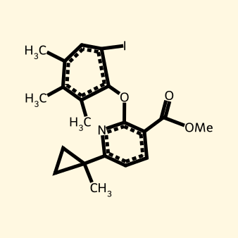 COC(=O)c1ccc(C2(C)CC2)nc1Oc1c(I)cc(C)c(C)c1C